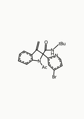 C=C1c2ccccc2N(C(C)=O)C1(C(=O)NC(C)(C)C)c1cc(Br)ccn1